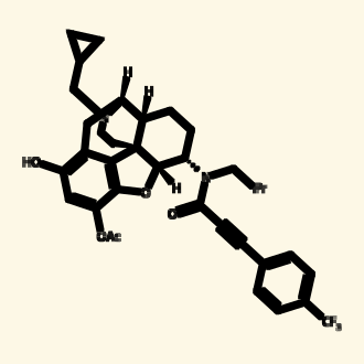 CC(=O)Oc1cc(O)c2c3c1O[C@H]1[C@@H](N(CC(C)C)C(=O)C#Cc4ccc(C(F)(F)F)cc4)CC[C@H]4[C@@H](C2)N(CC2CC2)CC[C@@]341